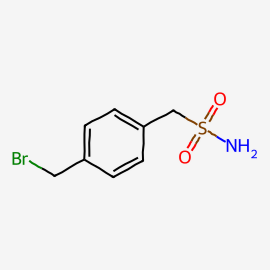 NS(=O)(=O)Cc1ccc(CBr)cc1